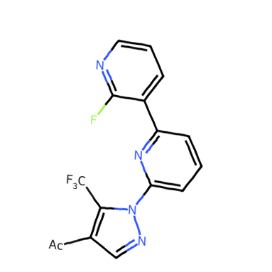 CC(=O)c1cnn(-c2cccc(-c3cccnc3F)n2)c1C(F)(F)F